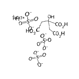 O=C(O)CC(O)(CC(=O)O)C(=O)O.O=S(=O)([O-])[O-].O=S(=O)([O-])[O-].O=S(=O)([O-])[O-].[Fe+3].[Fe+3]